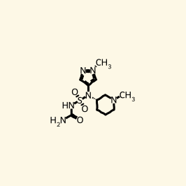 CN1CCC[C@H](N(c2cnn(C)c2)S(=O)(=O)NC(N)=O)C1